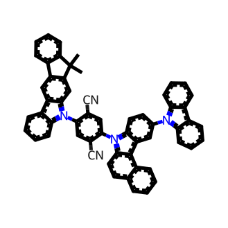 CC1(C)c2ccccc2-c2cc3c4ccccc4n(-c4cc(C#N)c(-n5c6ccc(-n7c8ccccc8c8ccccc87)cc6c6c7ccccc7ccc65)cc4C#N)c3cc21